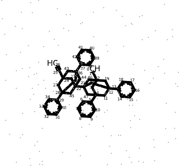 C#CC12CC3(c4ccccc4)CC(c4ccccc4)(C1)CC(C14CC5(C#C)CC(c6ccccc6)(CC(c6ccccc6)(C5)C1)C4)(C2)C3